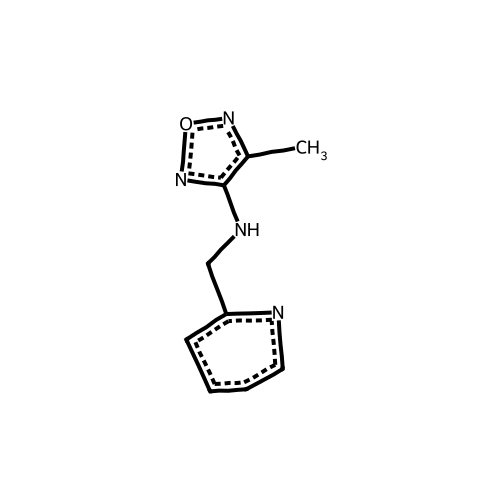 Cc1nonc1NCc1ccccn1